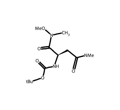 CNC(=O)C[C@@H](NC(=O)OC(C)(C)C)C(=O)N(C)OC